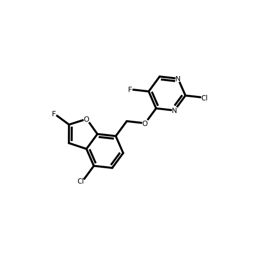 Fc1cc2c(Cl)ccc(COc3nc(Cl)ncc3F)c2o1